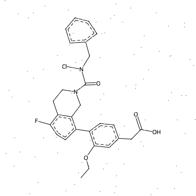 CCOc1cc(CC(=O)O)ccc1-c1ccc(F)c2c1CN(C(=O)N(Cl)Cc1ccccc1)CC2